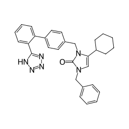 O=c1n(Cc2ccccc2)cc(C2CCCCC2)n1Cc1ccc(-c2ccccc2-c2nnn[nH]2)cc1